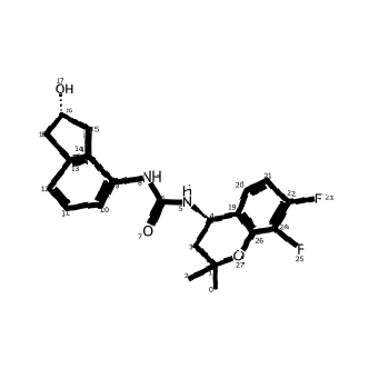 CC1(C)C[C@@H](NC(=O)Nc2cccc3c2C[C@@H](O)C3)c2ccc(F)c(F)c2O1